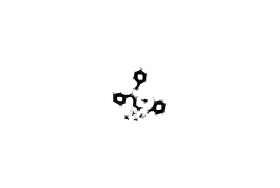 COc1ccc(CSC(c2ccccc2)C(CCS(=O)(=O)OCC(C)(C)C)NC(=O)OCc2ccccc2)cc1